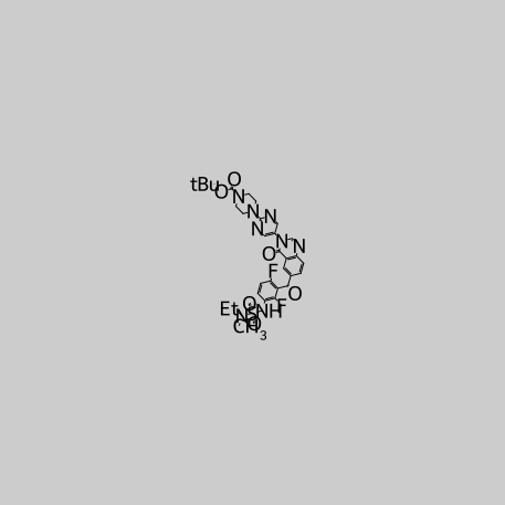 CCN(C)S(=O)(=O)Nc1ccc(F)c(C(=O)c2ccc3ncn(-c4cnc(N5CCN(C(=O)OC(C)(C)C)CC5)nc4)c(=O)c3c2)c1F